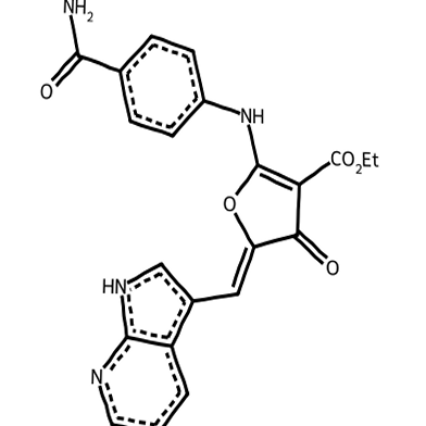 CCOC(=O)C1=C(Nc2ccc(C(N)=O)cc2)OC(=Cc2c[nH]c3ncccc23)C1=O